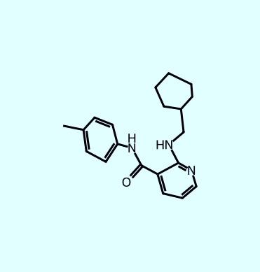 Cc1ccc(NC(=O)c2cccnc2NCC2CCCCC2)cc1